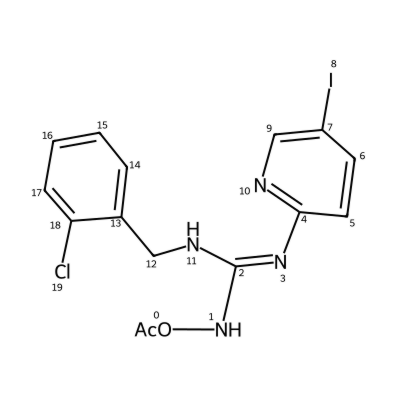 CC(=O)ONC(=Nc1ccc(I)cn1)NCc1ccccc1Cl